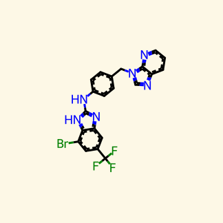 FC(F)(F)c1cc(Br)c2[nH]c(Nc3ccc(Cn4cnc5cccnc54)cc3)nc2c1